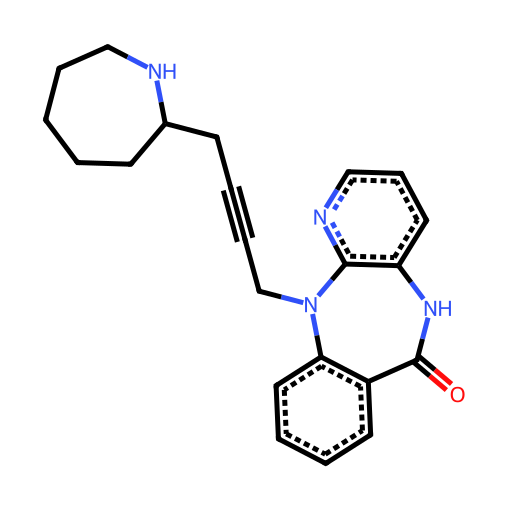 O=C1Nc2cccnc2N(CC#CCC2CCCCCN2)c2ccccc21